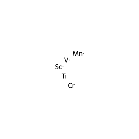 [Cr].[Mn].[Sc].[Ti].[V]